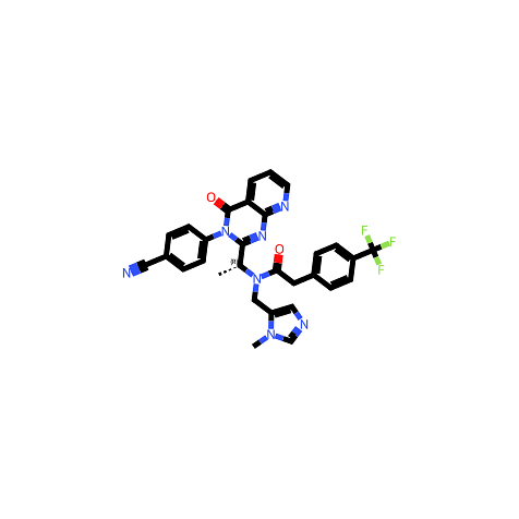 C[C@H](c1nc2ncccc2c(=O)n1-c1ccc(C#N)cc1)N(Cc1cncn1C)C(=O)Cc1ccc(C(F)(F)F)cc1